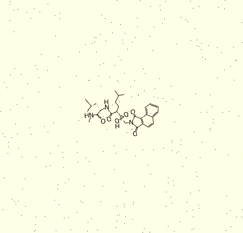 CNC(=O)[C@H](CC(C)C)NC(=O)C(CCC(C)C)P(=O)(O)CN1C(=O)c2ccc3ccccc3c2C1=O